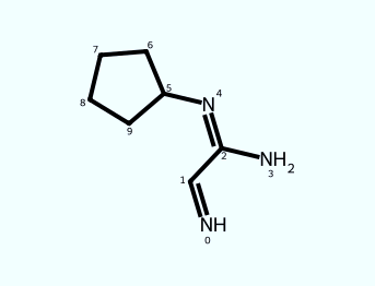 N=C/C(N)=N\C1CCCC1